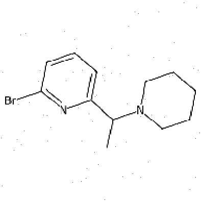 CC(c1cccc(Br)n1)N1CCCCC1